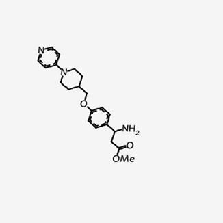 COC(=O)CC(N)c1ccc(OCC2CCN(c3ccncc3)CC2)cc1